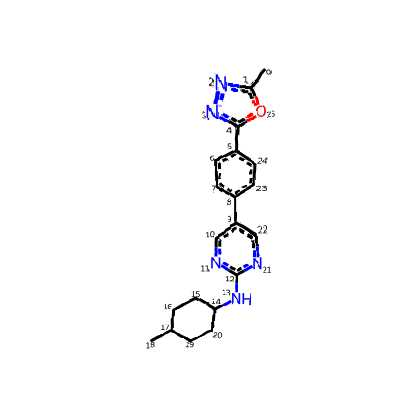 Cc1nnc(-c2ccc(-c3cnc(NC4CCC(C)CC4)nc3)cc2)o1